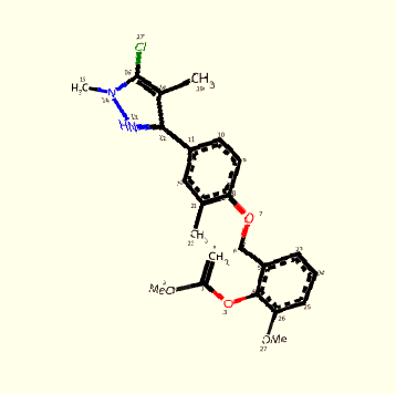 C=C(OC)Oc1c(COc2ccc(C3NN(C)C(Cl)=C3C)cc2C)cccc1OC